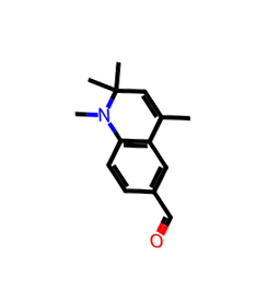 CC1=CC(C)(C)N(C)c2ccc(C=O)cc21